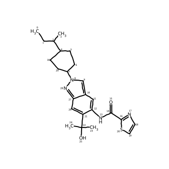 CCC(C)C1CCC(n2cc3cc(NC(=O)c4nccs4)c(C(C)(C)O)cc3n2)CC1